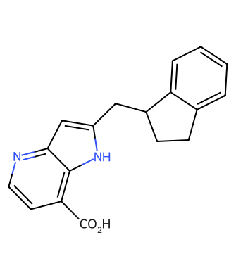 O=C(O)c1ccnc2cc(CC3CCc4ccccc43)[nH]c12